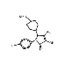 COC1CCC(C2C(C(C)=O)=C(O)C(=O)N2c2ccc(Cl)cc2)CC1